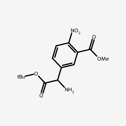 COC(=O)c1cc(C(N)C(=O)OC(C)(C)C)ccc1[N+](=O)[O-]